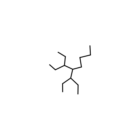 CCCCC(C(CC)CC)C(CC)CC